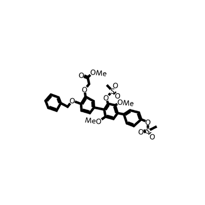 COC(=O)COc1cc(-c2c(OC)cc(-c3ccc(OS(C)(=O)=O)cc3)c(OC)c2OS(C)(=O)=O)ccc1OCc1ccccc1